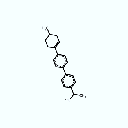 CCCCC(C)c1ccc(-c2ccc(C3=CCC(C)CC3)cc2)cc1